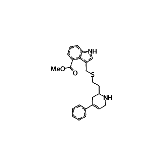 COC(=O)c1cccc2[nH]cc(CSCCC3CC(c4ccccc4)=CCN3)c12